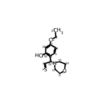 CCOc1ccc([C@@H](C=S)N2CCOCC2)c(O)c1